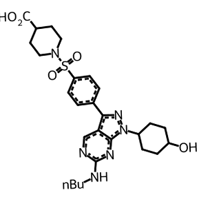 CCCCNc1ncc2c(-c3ccc(S(=O)(=O)N4CCC(C(=O)O)CC4)cc3)nn(C3CCC(O)CC3)c2n1